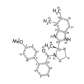 COc1ccc(-c2ccccc2C(=O)N2CCC[C@@]2(C)c2nc3c(C)c(C)ccc3[nH]2)cc1